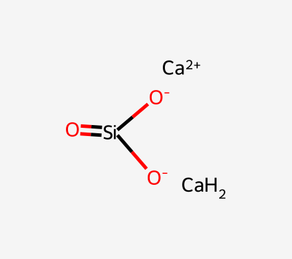 O=[Si]([O-])[O-].[Ca+2].[CaH2]